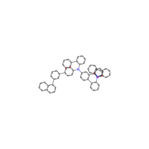 c1ccc(-c2cc(N(c3ccc(-c4cccc(-c5cccc6ccccc56)c4)cc3)c3ccccc3-c3ccccc3)ccc2-c2ccccc2-n2c3ccccc3c3ccccc32)cc1